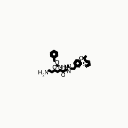 CC(Oc1ccc(Cc2nc(C(=O)C(CCCCN)NC(=O)OCc3ccccc3)no2)cc1)c1cccs1